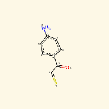 Nc1ccc(C(=O)C=S)cc1